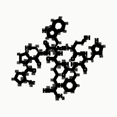 CC(=O)N[C@@H](CCS)C(=O)N[C@@H](Cc1c[nH]cn1)C(=O)N[C@H](Cc1ccccc1)C(=O)N[C@@H](CCCNC(=N)N)C(=O)N[C@@H](Cc1c[nH]c2ccccc12)C(=O)N[C@@H](CS)C(=O)N1CCC[C@H]1C(=O)N1CCC[C@H]1C(C)=O